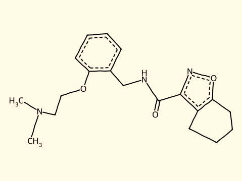 CN(C)CCOc1ccccc1CNC(=O)c1noc2c1CCCC2